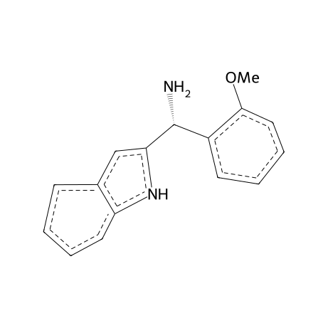 COc1ccccc1[C@@H](N)c1cc2ccccc2[nH]1